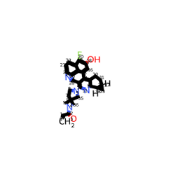 C=CC(=O)N1CC2(CCN(c3nc4c(c(-c5cc(O)c(F)c6ccccc56)c3C#N)CC[C@H]3C[C@@H]43)C2)C1